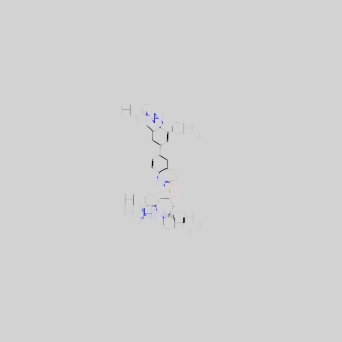 Cc1cc(-c2ccc3nc(OC4CC(C)(C)NC(C)(C)C4)sc3c2)cc2cn(C)nc12